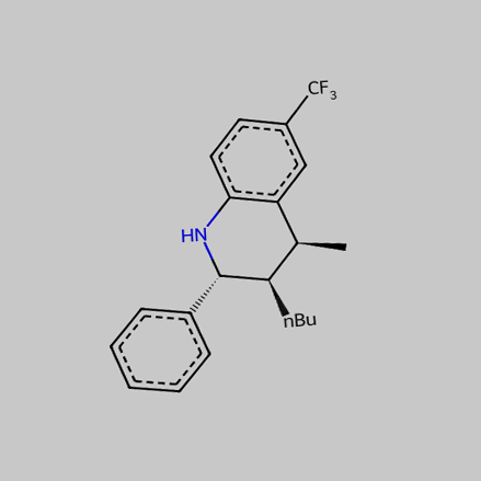 CCCC[C@@H]1[C@H](C)c2cc(C(F)(F)F)ccc2N[C@H]1c1ccccc1